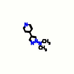 CN(C)n1cc(-c2ccncc2)cn1